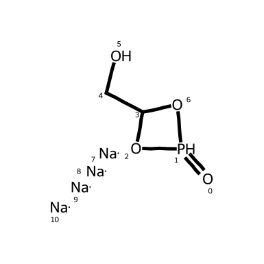 O=[PH]1OC(CO)O1.[Na].[Na].[Na].[Na]